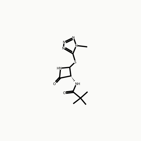 Cn1nnnc1SC1NC(=O)[C@H]1NC(=O)C(C)(C)C